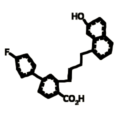 O=C(O)c1ccc(-c2ccc(F)cc2)cc1/C=C/CCc1cccc2ccc(O)cc12